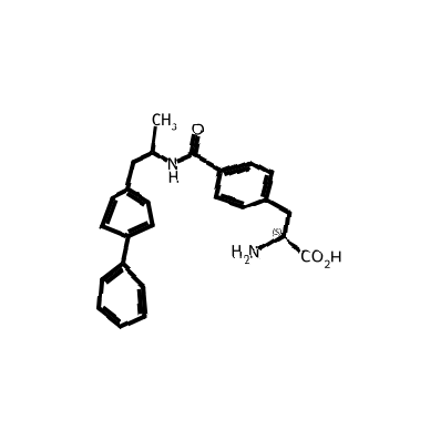 CC(Cc1ccc(-c2ccccc2)cc1)NC(=O)c1ccc(C[C@H](N)C(=O)O)cc1